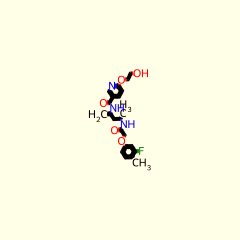 C=C(CC(C)NC(=O)COc1ccc(C)c(F)c1)NC(=O)c1ccc(OCCO)nc1